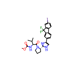 COC(=O)N[C@H](C(=O)N1CCC[C@H]1c1nc(-c2ccc3c(c2)C(F)(F)c2cc(I)ccc2-3)c[nH]1)C(C)C